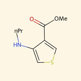 CCCNc1cscc1C(=O)OC